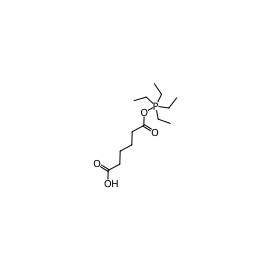 CCP(CC)(CC)(CC)OC(=O)CCCCC(=O)O